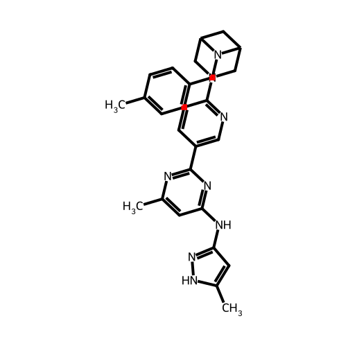 Cc1ccc(CN2C3CC2CN(c2ccc(-c4nc(C)cc(Nc5cc(C)[nH]n5)n4)cn2)C3)cc1